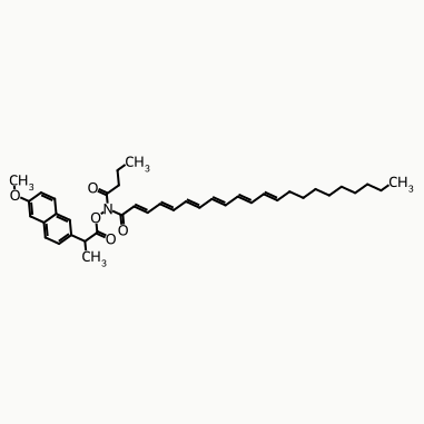 CCCCCCCCCC=CC=CC=CC=CC=CC=CC(=O)N(OC(=O)C(C)c1ccc2cc(OC)ccc2c1)C(=O)CCC